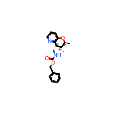 C[C@H]1[C@H](C)Oc2cccnc2[C@H]1CNC(=O)OCc1ccccc1